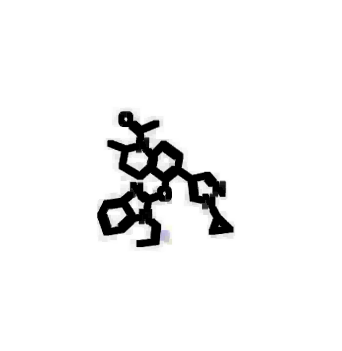 C/C=C\n1c(Oc2c(-c3cnn(C4CC4)c3)ccc3c2CCC(C)N3C(C)=O)nc2ccccc21